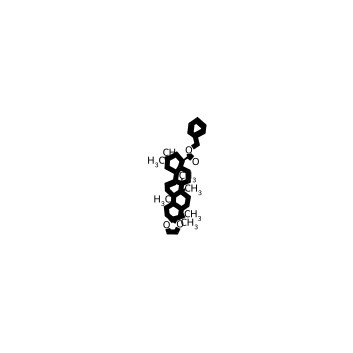 CC1(C)CC2C3=CCC4[C@@]5(C)CCC6(OCCO6)C(C)(C)C5CC[C@@]4(C)[C@]3(C)CCC2[C@H](C(=O)OCc2ccccc2)C1